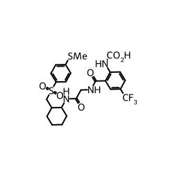 CSc1ccc(S(=O)(=O)CC2CCCCC2NC(=O)CNC(=O)c2cc(C(F)(F)F)ccc2NC(=O)O)cc1